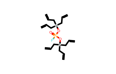 C=CC[Si](CC=C)(CC=C)OP(=O)(F)O[Si](CC=C)(CC=C)CC=C